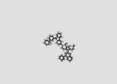 C=C/C=C\c1c(C)c(C=C)c(/C=C\CC2=CCC3C(=C2)c2ccccc2N3c2cccc(C3(C)C=CC=CC3)c2)n1-c1nc(-c2ccccc2)c2ccccc2n1